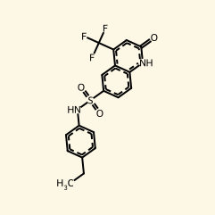 CCc1ccc(NS(=O)(=O)c2ccc3[nH]c(=O)cc(C(F)(F)F)c3c2)cc1